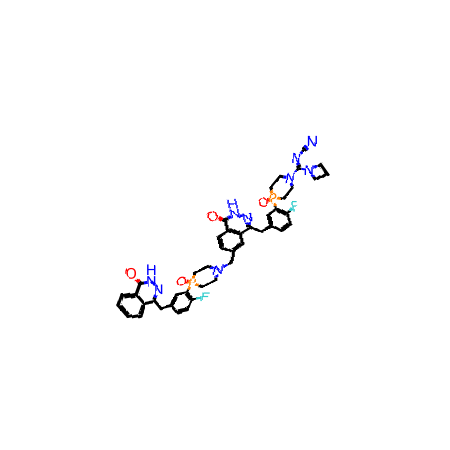 N#C/N=C(\N1CCC1)N1CCP(=O)(c2cc(Cc3n[nH]c(=O)c4ccc(CN5CCP(=O)(c6cc(Cc7n[nH]c(=O)c8ccccc78)ccc6F)CC5)cc34)ccc2F)CC1